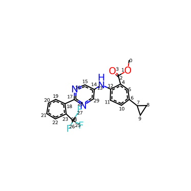 COC(=O)c1cc(C2CC2)ccc1Nc1cnc(-c2ccccc2C(F)(F)F)nc1